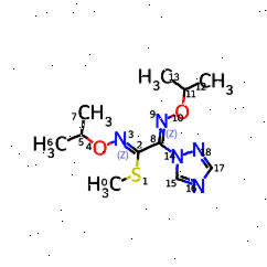 CSC(=N\OC(C)C)/C(=N/OC(C)C)n1cncn1